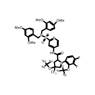 [2H]C([2H])([2H])Oc1c(N2CC(OC([2H])([2H])[2H])(C(F)(F)F)CC2C(=O)Nc2ccnc(S(=O)(=O)N(Cc3ccc(OC)cc3OC)Cc3ccc(OC)cc3OC)c2)ccc(F)c1F